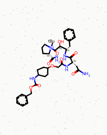 CC(C)(C)[N+]1(C(=O)[C@@H](O)[C@H](Cc2ccccc2)NC(=O)[C@H](CC(N)=O)NC(=O)COC2CCC(NC(=O)OCc3ccccc3)CC2)CCC[C@H]1C(N)=O